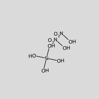 O=[N+]([O-])O.O=[N+]([O-])O.O[Si](O)(O)O